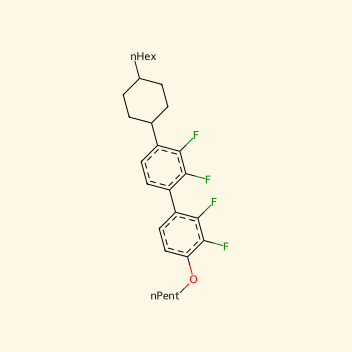 CCCCCCC1CCC(c2ccc(-c3ccc(OCCCCC)c(F)c3F)c(F)c2F)CC1